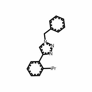 CC(C)c1ccccc1-c1cn(Cc2ccccc2)nn1